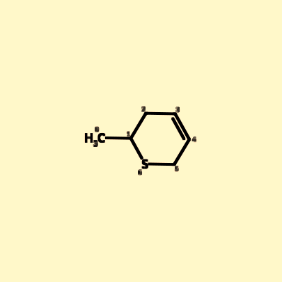 CC1CC=CCS1